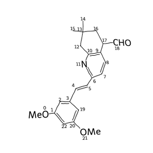 COc1cc(C=Cc2ccc3c(n2)CC(C)(C)CC3C=O)cc(OC)c1